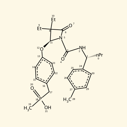 CCC[C@@H](NC(=O)N1C(=O)C(CC)(CC)[C@@H]1Oc1ccc(CP(C)(=O)O)cc1)c1ccc(C)cc1